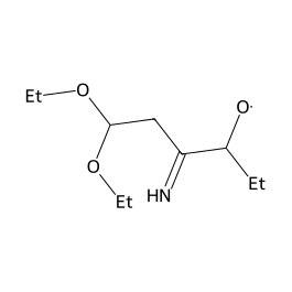 CCOC(CC(=N)C([O])CC)OCC